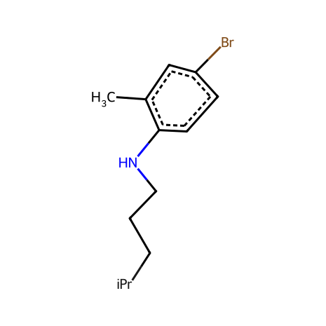 Cc1cc(Br)ccc1NCCCC(C)C